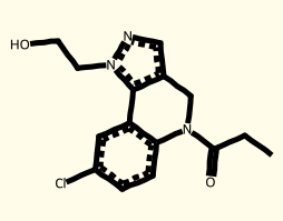 CCC(=O)N1Cc2cnn(CCO)c2-c2cc(Cl)ccc21